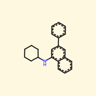 c1ccc(-c2cc(NC3CCCCC3)c3ccccc3c2)cc1